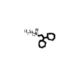 [SiH3]O[SiH]CCC(C1CCCCCC1)C1CCCCCC1